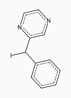 IC(c1ccccc1)c1cnccn1